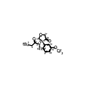 CCN(C(=O)CC(C)(C)C)[N+]1(c2cccc(OC(F)(F)F)c2)COCC1=O